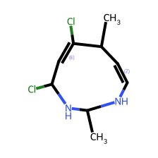 CC1N/C=C\C(C)/C(Cl)=C\C(Cl)N1